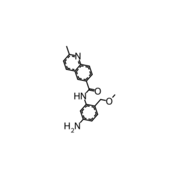 COCc1ccc(N)cc1NC(=O)c1ccc2nc(C)ccc2c1